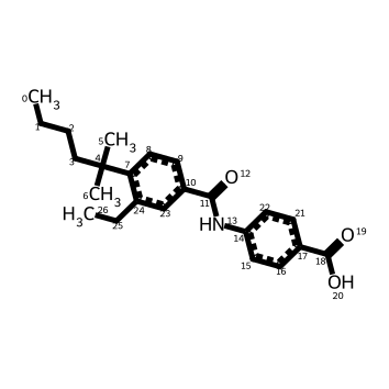 CCCCC(C)(C)c1ccc(C(=O)Nc2ccc(C(=O)O)cc2)cc1CC